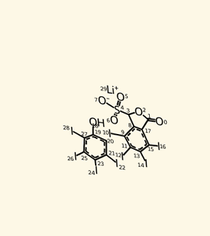 O=C1OC(S(=O)(=O)[O-])c2c(I)c(I)c(I)c(I)c21.Oc1cc(I)c(I)c(I)c1I.[Li+]